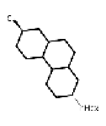 CCCCCC[C@@H]1CCC2C(CCC3C[C@H](Cl)CCC32)C1